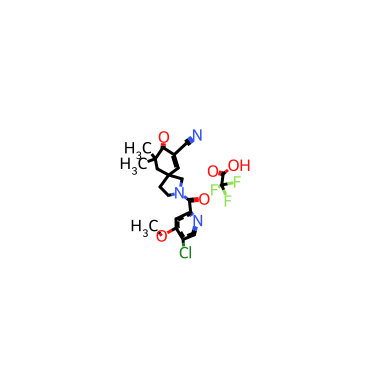 COc1cc(C(=O)N2CCC3(C=C(C#N)C(=O)C(C)(C)C3)C2)ncc1Cl.O=C(O)C(F)(F)F